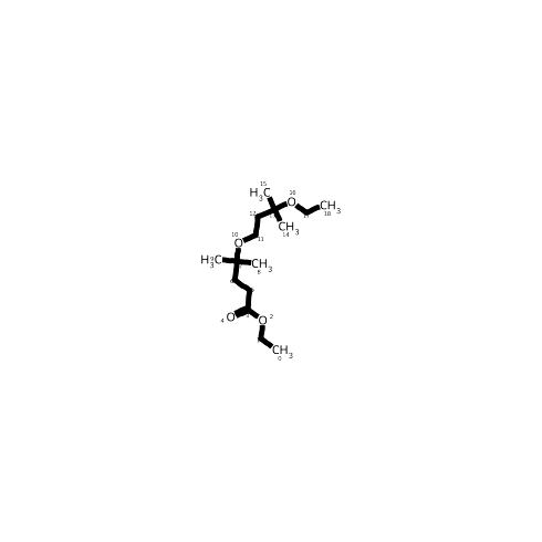 CCOC(=O)CCC(C)(C)OCCC(C)(C)OCC